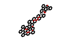 c1ccc(-c2ccc(-c3ccccc3N(c3ccc4c(c3)C3(c5ccccc5-4)c4ccccc4-n4c5ccccc5c5cccc3c54)c3ccc4c(ccc5cc(-c6cccc7c6c6cccc8c6n7-c6ccccc6C86c7ccccc7-c7ccc(N(c8ccccc8-c8ccc(-c9ccccc9)cc8)c8cc9ccccc9c9ccccc89)cc76)ccc54)c3)cc2)cc1